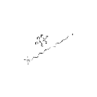 CCCCCCCCCCCCCCCC[N+](C)(C)C.O=S(=O)([O-])C(F)(F)F